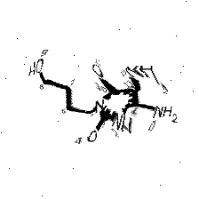 Nc1[nH]c(=O)n(CCCO)c(=O)c1N